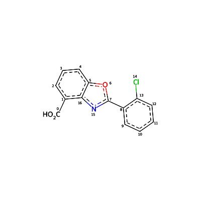 O=C(O)c1cccc2oc(-c3ccccc3Cl)nc12